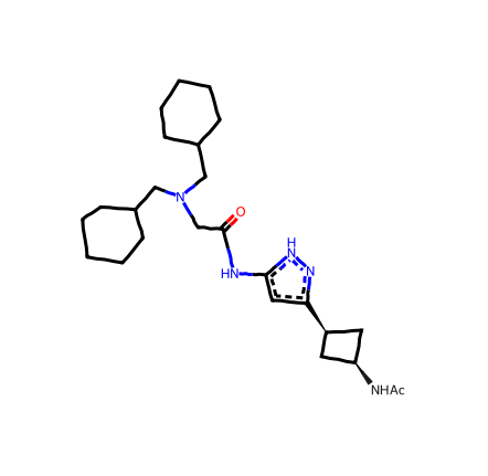 CC(=O)N[C@H]1C[C@@H](c2cc(NC(=O)CN(CC3CCCCC3)CC3CCCCC3)[nH]n2)C1